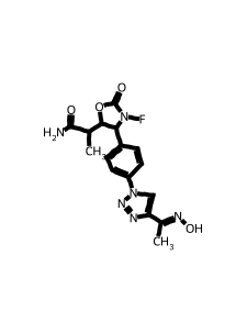 CC(=NO)c1cn(-c2ccc(C3C(C(C)C(N)=O)OC(=O)N3F)cc2)nn1